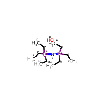 CCP(CC)(CC)=[N+]=P(CC)(CC)CC.[OH-]